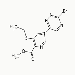 CCSc1cc(-c2cnc(Br)nn2)cnc1C(=O)OC